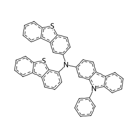 c1ccc(-n2c3ccccc3c3ccc(N(c4ccc5sc6ccccc6c5c4)c4cccc5c4sc4ccccc45)cc32)cc1